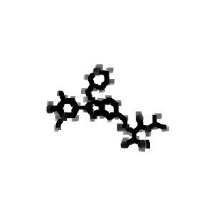 Cc1cc(-c2nc3cc(CN[C@H](C(=O)O)C(=O)OC(C)C)ccc3n2CC2CCCOC2)cn(C)c1=O